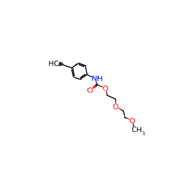 C#Cc1ccc(NC(=O)OCCOCCOC)cc1